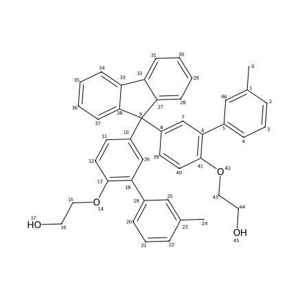 Cc1cccc(-c2cc(C3(c4ccc(OCCO)c(-c5cccc(C)c5)c4)c4ccccc4-c4ccccc43)ccc2OCCO)c1